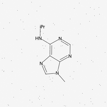 CC(C)Nc1ncnc2c1ncn2C